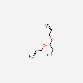 C=CCOC(CO)OCC=C